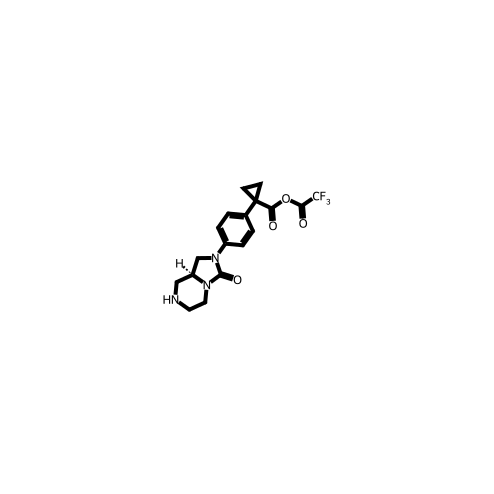 O=C1N(c2ccc(C3(C(=O)OC(=O)C(F)(F)F)CC3)cc2)C[C@@H]2CNCCN12